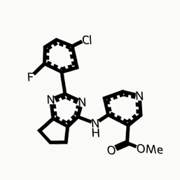 COC(=O)c1cnccc1Nc1nc(-c2cc(Cl)ccc2F)nc2c1CCC2